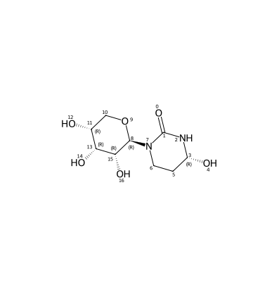 O=C1N[C@H](O)CCN1[C@@H]1OC[C@@H](O)[C@@H](O)[C@H]1O